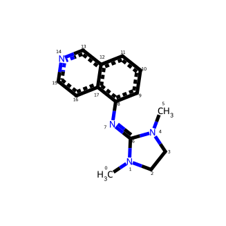 CN1CCN(C)C1=Nc1cccc2cnccc12